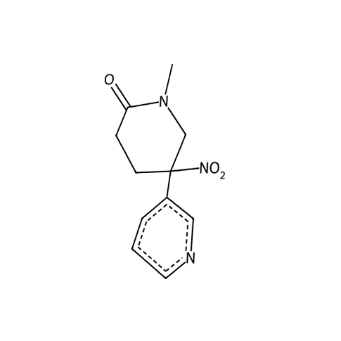 CN1CC(c2cccnc2)([N+](=O)[O-])CCC1=O